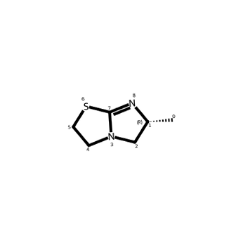 C[C@@H]1CN2CCSC2=N1